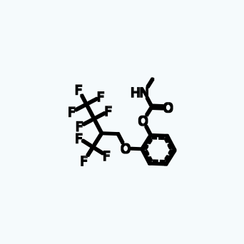 CNC(=O)Oc1ccccc1OCC(C(F)(F)F)C(F)(F)C(F)(F)F